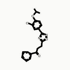 CC(C)Oc1ccc(-c2noc(CCC(=O)c3ccccc3)n2)cc1Cl